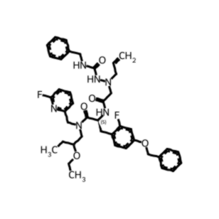 C=CCN(CC(=O)N[C@@H](Cc1ccc(OCc2ccccc2)cc1F)C(=O)N(Cc1cccc(F)n1)CC(CC)OCC)NC(=O)NCc1ccccc1